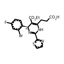 CCOC(=O)C1=C(CCC(=O)O)NC(c2nccs2)=N[C@H]1c1ccc(F)cc1Br